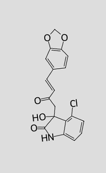 O=C(/C=C/c1ccc2c(c1)OCO2)CC1(O)C(=O)Nc2cccc(Cl)c21